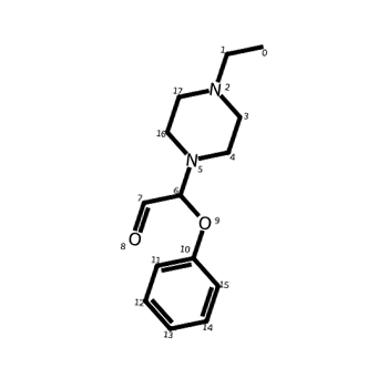 CCN1CCN(C(C=O)Oc2cc[c]cc2)CC1